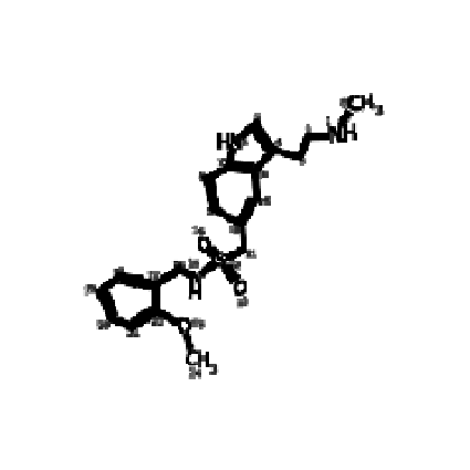 CNCCc1c[nH]c2ccc(CS(=O)(=O)NCc3ccccc3OC)cc12